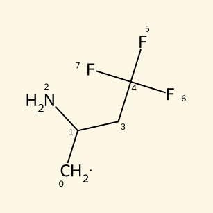 [CH2]C(N)CC(F)(F)F